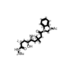 CCCCNC(=O)[C@H](C)C[C@H](O)[C@@H](N)CC(C)(C)CC(=O)N1CN(C(C)=O)c2ccccc21